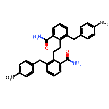 NC(=O)c1cccc(Cc2ccc([N+](=O)[O-])cc2)c1CCc1c(Cc2ccc([N+](=O)[O-])cc2)cccc1C(N)=O